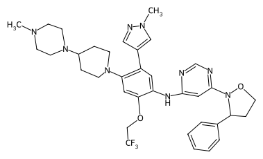 CN1CCN(C2CCN(c3cc(OCC(F)(F)F)c(Nc4cc(N5OCCC5c5ccccc5)ncn4)cc3-c3cnn(C)c3)CC2)CC1